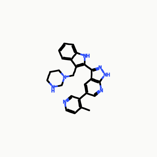 Cc1ccncc1-c1cnc2[nH]nc(-c3[nH]c4ccccc4c3CN3CCCNC3)c2c1